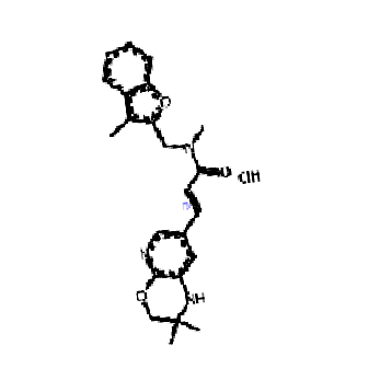 Cc1c(CN(C)C(=O)/C=C/c2cnc3c(c2)NC(C)(C)CO3)oc2ccccc12.Cl